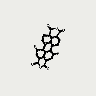 O=C1OC(=O)c2ccc3c4c(F)cc5c6c(cc(F)c(c7ccc1c2c73)c64)C(=O)OC5=O